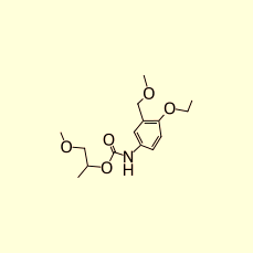 CCOc1ccc(NC(=O)OC(C)COC)cc1COC